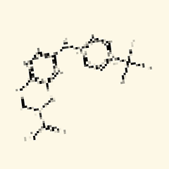 O=C(O)N1CCc2ccc(Oc3ccc(C(F)(F)F)cc3)cc2C1